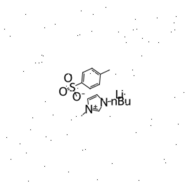 CCCCn1cc[n+](C)c1.Cc1ccc(S(=O)(=O)[O-])cc1.[Li]